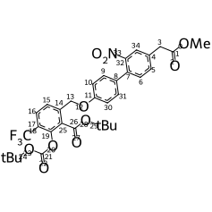 COC(=O)Cc1ccc(-c2ccc(OCc3ccc(C(F)(F)F)c(OC(=O)OC(C)(C)C)c3C(=O)OC(C)(C)C)cc2)c([N+](=O)[O-])c1